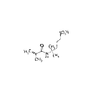 C=C(C)C(=O)NC(C)(C)CCCS(=O)(=O)O